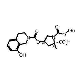 CC(C)(C)OC(=O)N1C[C@H](OC(=O)N2CCc3cccc(O)c3C2)C[C@@]1(C)C(=O)O